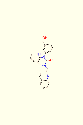 O=C1N(Cc2ccc3ccccc3n2)CC2=C(NCC=C2)N1c1cccc(CO)c1